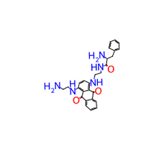 NCCNc1ccc(NCCNC(=O)[C@@H](N)Cc2ccccc2)c2c1C(=O)c1ccccc1C2=O